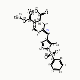 C=N/C(=C\c1cnn(S(=O)(=O)c2ccccc2)c1C)C[C@H](NC(=O)OC(C)(C)C)C(=O)OC